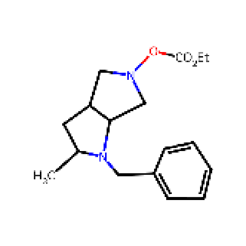 CCOC(=O)ON1CC2CC(C)N(Cc3ccccc3)C2C1